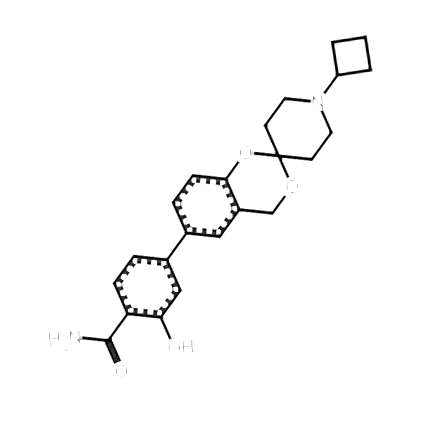 NC(=O)c1ccc(-c2ccc3c(c2)COC2(CCN(C4CCC4)CC2)O3)cc1O